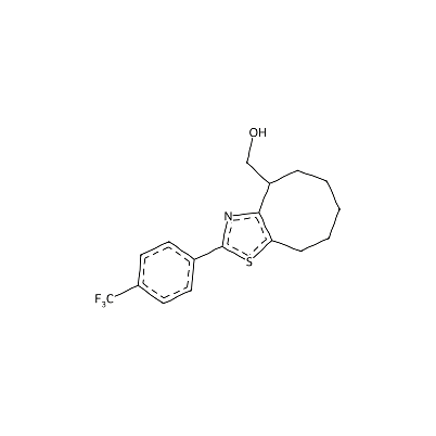 OCC1CCCCCc2sc(-c3ccc(C(F)(F)F)cc3)nc21